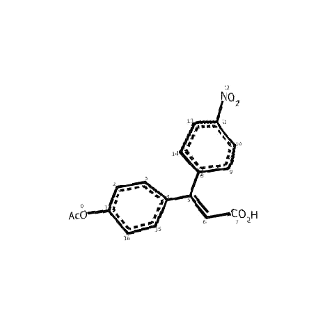 CC(=O)Oc1ccc(C(=CC(=O)O)c2ccc([N+](=O)[O-])cc2)cc1